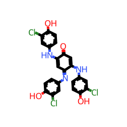 O=C1C=C(Nc2ccc(O)c(Cl)c2)C(=Nc2ccc(O)c(Cl)c2)C=C1Nc1ccc(O)c(Cl)c1